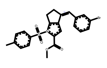 COC(=O)c1cc2c(n1S(=O)(=O)c1ccc(C)cc1)CC/C2=C/c1cccc(Br)c1